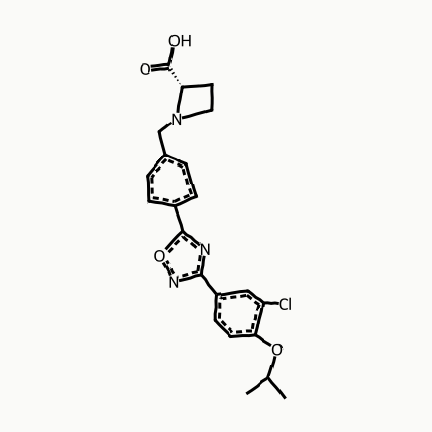 CC(C)Oc1ccc(-c2noc(-c3ccc(CN4CC[C@H]4C(=O)O)cc3)n2)cc1Cl